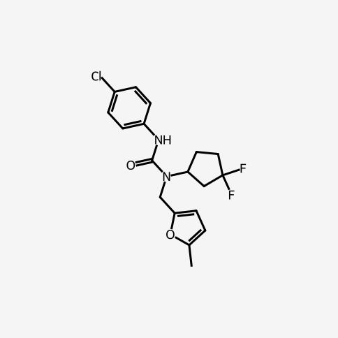 Cc1ccc(CN(C(=O)Nc2ccc(Cl)cc2)C2CCC(F)(F)C2)o1